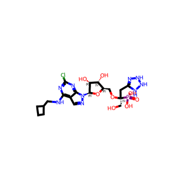 O=P(O)(O)[C@](CO)(CC1=NNNN1)OC[C@H]1O[C@@H](n2ncc3c(NCC4CCC4)nc(Cl)nc32)[C@H](O)[C@@H]1O